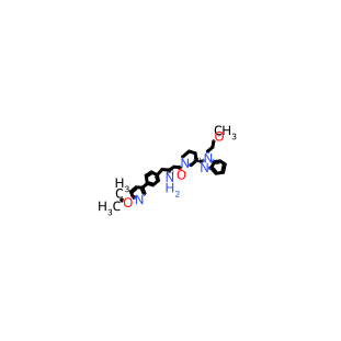 COCCCn1c([C@@H]2CCCN(C(=O)C[C@H](N)Cc3ccc(-c4ccc(OC(C)C)nc4)cc3)C2)nc2ccccc21